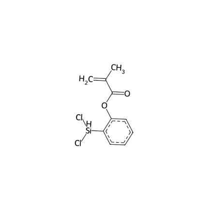 C=C(C)C(=O)Oc1ccccc1[SiH](Cl)Cl